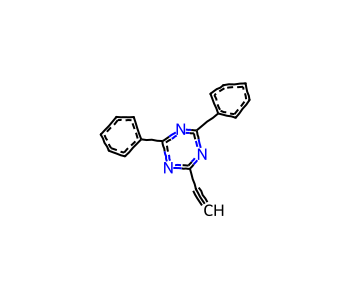 C#Cc1nc(-c2ccccc2)nc(-c2ccccc2)n1